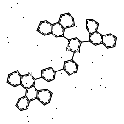 c1cc(-c2ccc(-c3nc4ccccc4c4c5ccccc5c5ccccc5c34)cc2)cc(-c2nc(-c3cc4ccccc4c4ccccc34)cc(-c3cc4ccccc4c4ccccc34)n2)c1